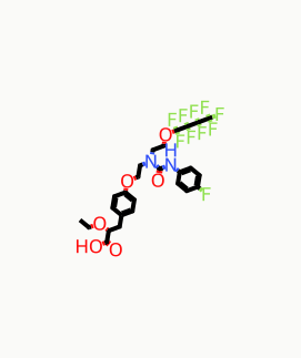 CCOC(Cc1ccc(OCCN(CCOC(F)(F)C(F)(F)C(F)(F)C(F)(F)F)C(=O)Nc2ccc(F)cc2)cc1)C(=O)O